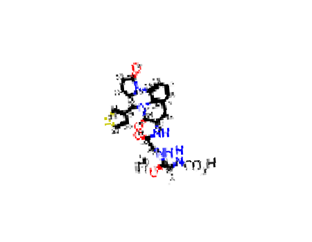 CC(C)C[C@@H](NC(=O)[C@@H](C)NC(=O)O)C(=O)NC1Cc2cccc(N3CCCC3=O)c2N(Cc2ccsc2)C1=O